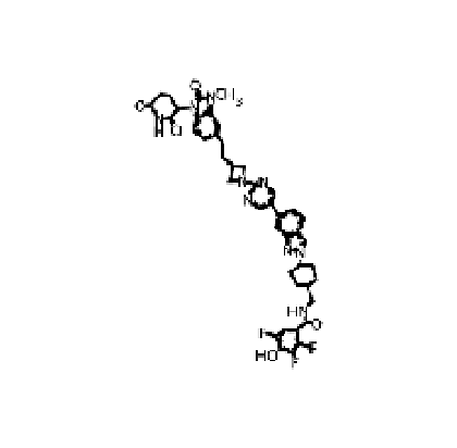 Cn1c(=O)n(C2CCC(=O)NC2=O)c2ccc(CCC3CN(c4ncc(-c5ccc6cn([C@H]7CC[C@H](CNC(=O)c8cc(F)c(O)c(F)c8F)CC7)nc6c5)cn4)C3)cc21